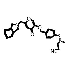 CN(CCC#N)Sc1ccc(COc2coc(CN3Cc4ccccc4C3)cc2=O)cc1